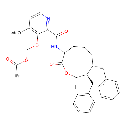 COc1ccnc(C(=O)NC2CCC[C@H](Cc3ccccc3)[C@@H](Cc3ccccc3)[C@H](C)OC2=O)c1OCOC(=O)C(C)C